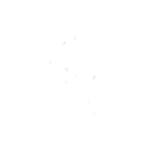 CCc1cccc(CC)c1NC(=O)c1cc(-c2ccnc(Nc3ccc(N4CCN(C)CC4)cc3OC)n2)n(C)c1